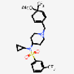 COC1(C(F)(F)F)C=CC(CN2CCC(N(C3CC3)S(=O)(=O)c3cccc(C(F)(F)F)c3)CC2)=CC1